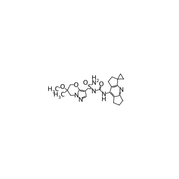 COC1(C)COc2c(S(N)(=O)=NC(=O)Nc3c4c(nc5c3CCC53CC3)CCC4)cnn2C1